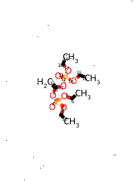 C=C(OP(=O)(OCC)OCC)OP(=O)(OCC)OCC